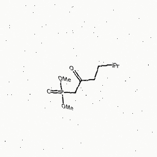 COP(=O)(CC(=O)CCC(C)C)OC